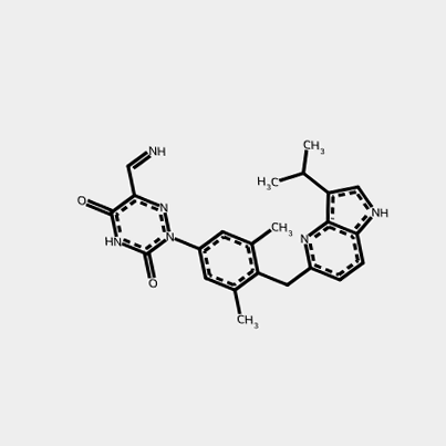 Cc1cc(-n2nc(C=N)c(=O)[nH]c2=O)cc(C)c1Cc1ccc2[nH]cc(C(C)C)c2n1